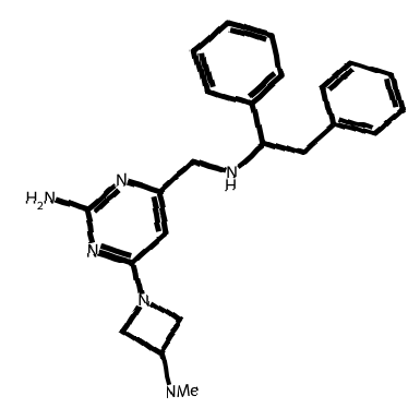 CNC1CN(c2cc(CNC(Cc3ccccc3)c3ccccc3)nc(N)n2)C1